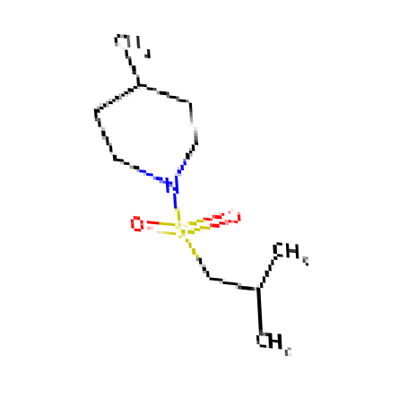 CC(C)CS(=O)(=O)N1CCC(C)CC1